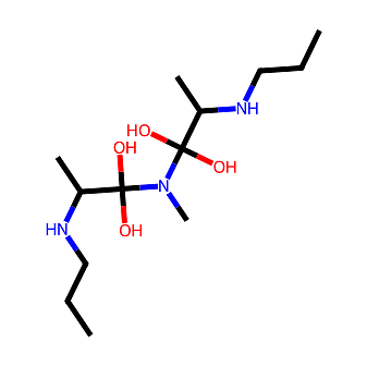 CCCNC(C)C(O)(O)N(C)C(O)(O)C(C)NCCC